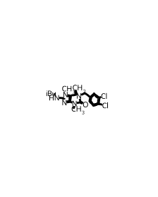 C=C1c2c(nc(NC(C)CC)n2C)N(C)C(=O)N1Cc1ccc(Cl)c(Cl)c1